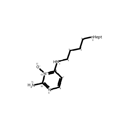 CCCCCCCCCCCNc1ccnc(N)[n+]1[O-]